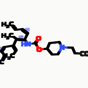 C=C/C=C\C(=CC)/C(C)=C(/C=C\C=C)NC(=O)OC1CCN(CCC(=O)O)CC1